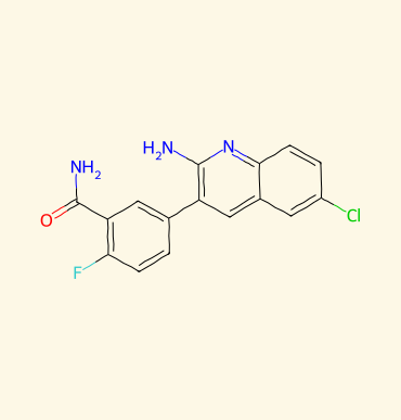 NC(=O)c1cc(-c2cc3cc(Cl)ccc3nc2N)ccc1F